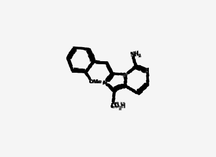 COc1ccccc1Cc1nc(C(=O)O)c2ccnc(N)n12